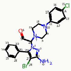 Nc1nn(C(C=O)N2CCN(c3ccc(Cl)cc3)CC2)c(-c2ccccc2)c1Br